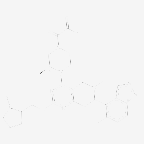 C=C(F)C(=O)N1CCN(c2nc(OCC3CCCN3C)nc3c2CN(C)C(c2c(C)ccc4[nH]ncc24)C3)[C@@H](C)C1